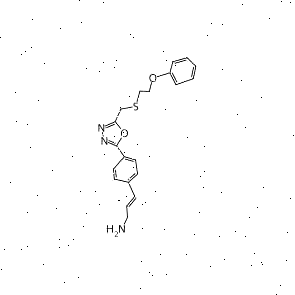 NCC=Cc1ccc(-c2nnc(CSCCOc3ccccc3)o2)cc1